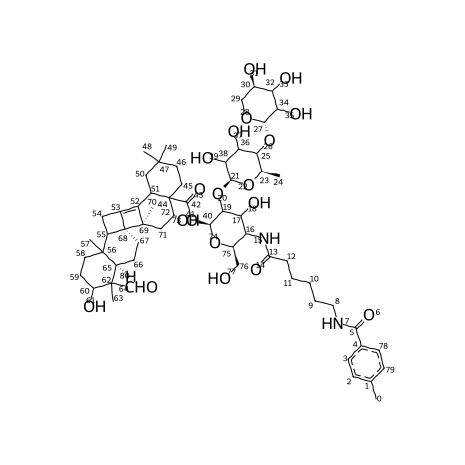 Cc1ccc(C(=O)NCCCCCC(=O)NC2C(O)C(O[C@@H]3O[C@H](C)C(O[C@@H]4OC[C@@H](O)C(O)C4O)C(O)C3O)[C@H](OC(=O)C34CCC(C)(C)CC3C3=C5CC6C7(C)CCC(O)C(C)(C=O)[C@@H]7CC[C@@]56[C@]3(C)C[C@H]4O)O[C@@H]2CO)cc1